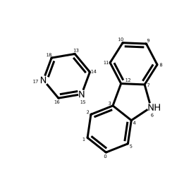 c1ccc2c(c1)[nH]c1ccccc12.c1cncnc1